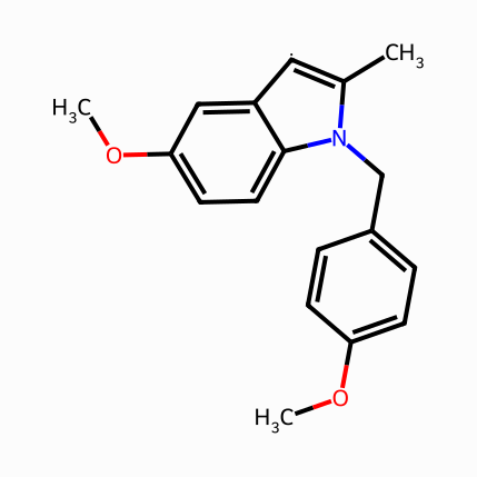 COc1ccc(Cn2c(C)[c]c3cc(OC)ccc32)cc1